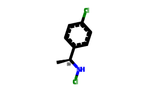 C[C@H](NCl)c1ccc(Cl)cc1